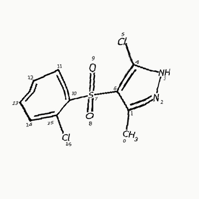 Cc1n[nH]c(Cl)c1S(=O)(=O)c1ccccc1Cl